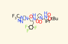 CC(C)C(NC(=O)OC(C)(C)C)C(=O)N1CCCC1C(=O)NC(CC(=O)N1CCn2c(nnc2C(F)(F)F)C1)Cc1cc(F)c(F)cc1F